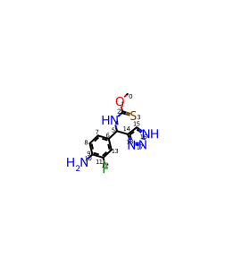 COC(=S)NC(c1ccc(N)c(F)c1)c1c[nH]nn1